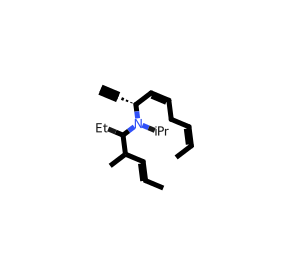 C#C[C@H](/C=C\C/C=C\C)N(C(C)C)C(CC)C(C)C=CC